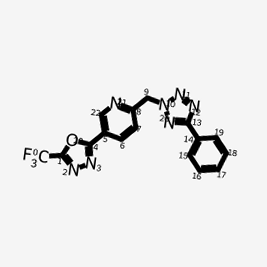 FC(F)(F)c1nnc(-c2ccc(Cn3nnc(-c4ccccc4)n3)nc2)o1